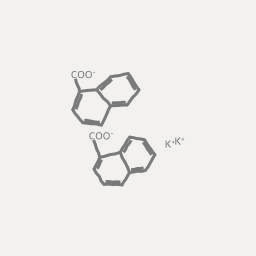 O=C([O-])c1cccc2ccccc12.O=C([O-])c1cccc2ccccc12.[K+].[K+]